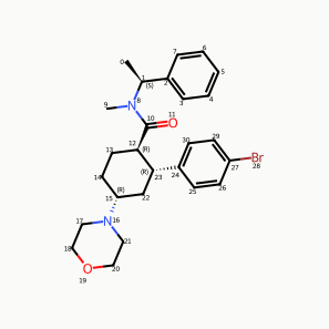 C[C@@H](c1ccccc1)N(C)C(=O)[C@@H]1CC[C@@H](N2CCOCC2)C[C@H]1c1ccc(Br)cc1